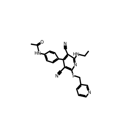 CCNc1nc(SCc2cccnc2)c(C#N)c(-c2ccc(NC(C)=O)cc2)c1C#N